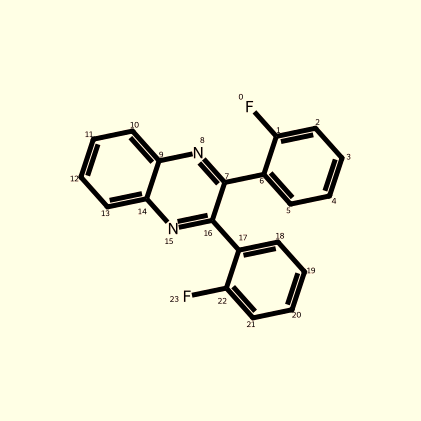 Fc1ccccc1-c1nc2ccccc2nc1-c1ccccc1F